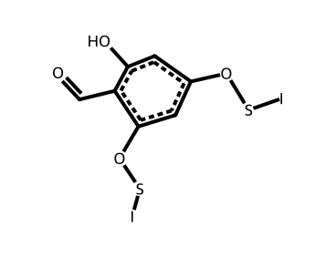 O=Cc1c(O)cc(OSI)cc1OSI